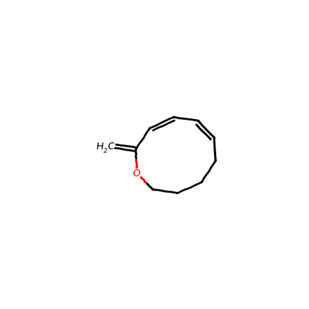 C=C1/C=C\C=C/CCCCO1